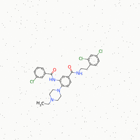 CCN1CCN(c2ccc(C(=O)NCCc3ccc(Cl)cc3Cl)cc2NC(=O)c2cccc(Cl)c2)CC1